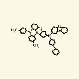 Cc1ccc(N2c3ccc(C)cc3B3c4ccc(N(c5ccc(-c6ccccc6)cc5)c5ccc6oc7ccccc7c6c5)cc4Oc4cccc2c43)cc1